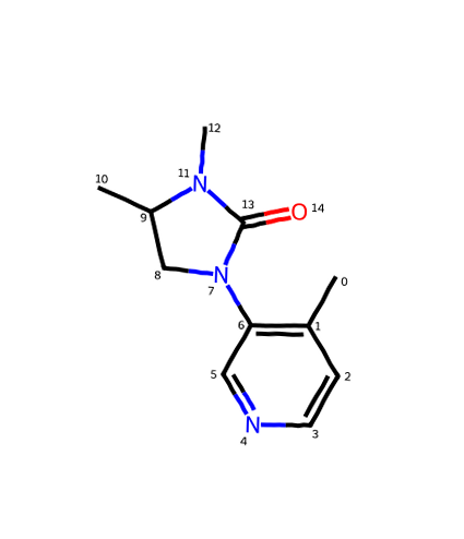 Cc1ccncc1N1CC(C)N(C)C1=O